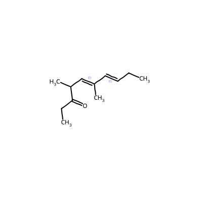 CC/C=C/C(C)=C/C(C)C(=O)CC